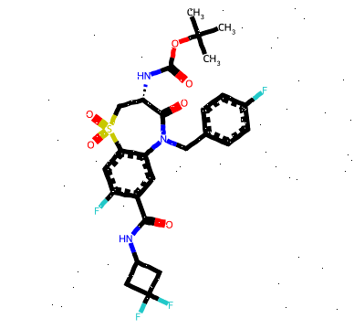 CC(C)(C)OC(=O)N[C@H]1CS(=O)(=O)c2cc(F)c(C(=O)NC3CC(F)(F)C3)cc2N(Cc2ccc(F)cc2)C1=O